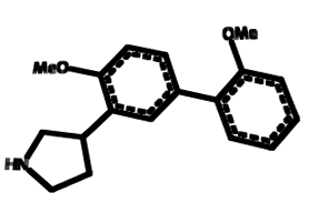 COc1ccccc1-c1ccc(OC)c(C2CCNC2)c1